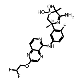 CC1(C)C(N)=N[C@](C)(c2cc(Nc3nccc4nc(OCC(F)F)cnc34)ccc2F)CS1(O)O